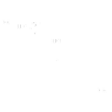 CCCCCCCCCCCCCCCCC(CCCO)C(C)(C)N.Cl